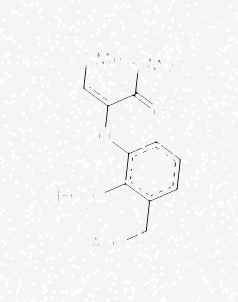 COC=C(Oc1cccc(COC(C)=O)c1C(=O)O)C(=O)OC